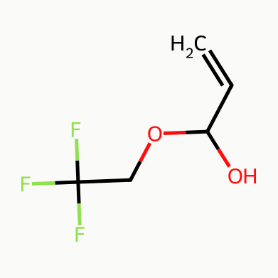 C=CC(O)OCC(F)(F)F